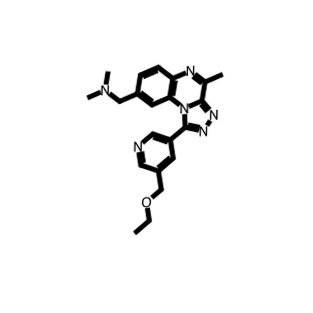 CCOCc1cncc(-c2nnc3c(C)nc4ccc(CN(C)C)cc4n23)c1